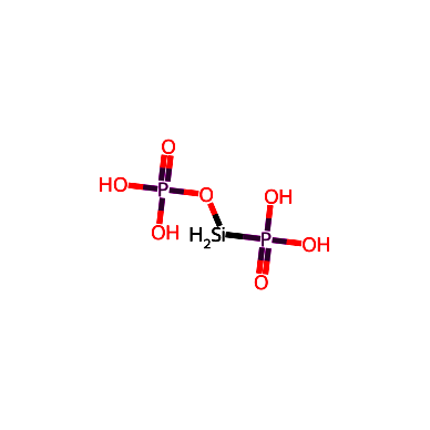 O=P(O)(O)O[SiH2]P(=O)(O)O